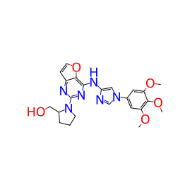 COc1cc(-n2cnc(Nc3nc(N4CCCC4CO)nc4ccoc34)c2)cc(OC)c1OC